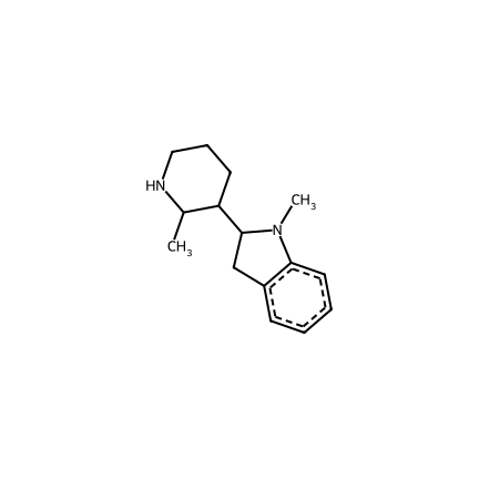 CC1NCCCC1C1Cc2ccccc2N1C